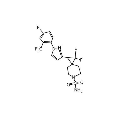 NS(=O)(=O)N1CCC2(CC1)C(c1ccn(-c3ccc(F)cc3C(F)(F)F)n1)C2(F)F